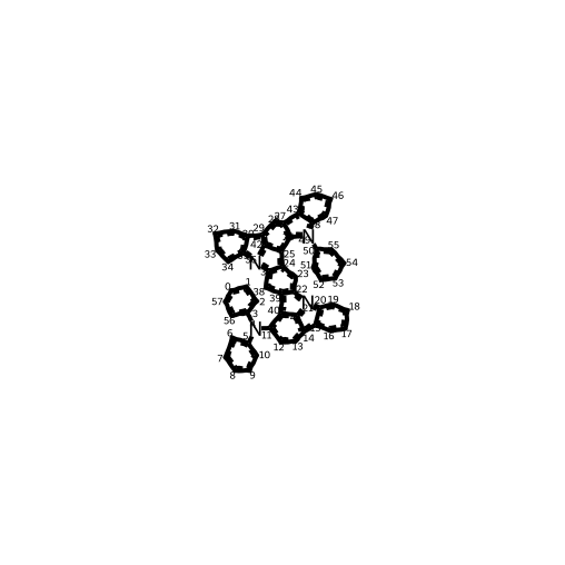 c1ccc(N(c2ccccc2)c2ccc3c4ccccc4n4c5cc6c7c8c(cc9c%10ccccc%10n(c6cc5c2c34)c97)c2ccccc2n8-c2ccccc2)cc1